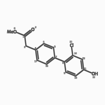 COC(=O)Cc1ccc(-c2ccc(O)cc2Cl)cc1